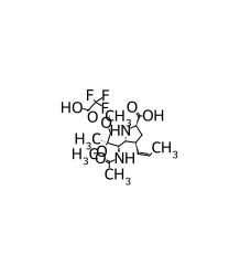 C/C=C\[C@@H]1C[C@H](C(=O)O)N[C@H]1[C@@H](NC(C)=O)[C@](C)(COC)OC.O=C(O)C(F)(F)F